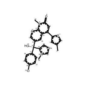 Cc1csc(-c2cc(=O)n(C)c3ncc([C@](O)(c4ccc(Cl)cc4)c4cncn4C)cc23)c1